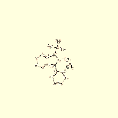 [2H]C([2H])([2H])N1c2ccccc2N(c2ccccc2C)[C@H]1C